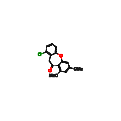 COc1cc(OC)c2c(c1)Oc1cccc(Cl)c1CC2=O